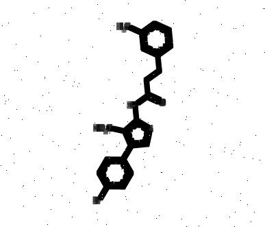 Cc1cccc(CCC(=O)Nc2scc(-c3ccc(Br)cc3)c2C(=O)O)c1